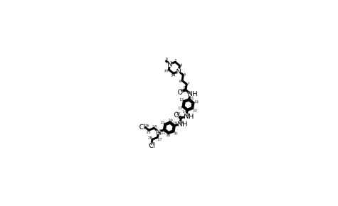 CN1CCN(CCCC(=O)Nc2ccc(NC(=O)Nc3ccc(N(CCCl)CCCl)cc3)cc2)CC1